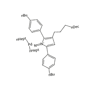 CCCCCCCCCCCCCC1=C(c2ccc(CCCC)cc2)[N+](=[N-])C(c2ccc(CCCC)cc2)=C1.CCCCCC[CH2][Pd][CH2]CCCCCC